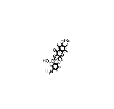 Cc1c(C)c2c(c(C)c1OC(C)(C)C)C(=O)C(OCC(=O)O)C(C)(COc1ccc(N)cc1)O2